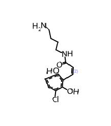 NCCCCNC(=O)/C=C\c1c(O)ccc(Cl)c1O